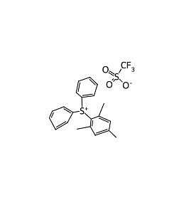 Cc1cc(C)c([S+](c2ccccc2)c2ccccc2)c(C)c1.O=S(=O)([O-])C(F)(F)F